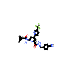 N#Cc1ccc(CNC(=O)c2cc(-c3ccc(C(F)(F)F)cn3)cc(NC(=O)C3CC3)n2)cc1